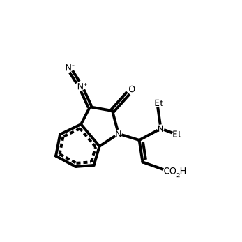 CCN(CC)C(=CC(=O)O)N1C(=O)C(=[N+]=[N-])c2ccccc21